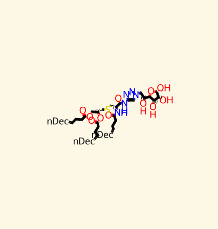 CCCCCCCCCCCCCC(=O)N[C@H](CSC[C@@H](COC(=O)CCCCCCCCCCCCC)OC(=O)CCCCCCCCCCCCC)C(=O)Nc1cn(C[C@H](O)C2OC(O)[C@@H](O)[C@@H]2O)nn1